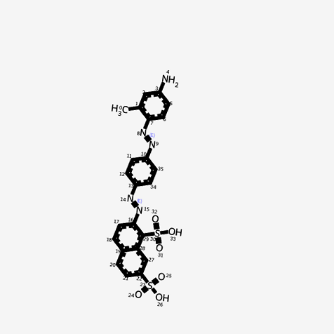 Cc1cc(N)ccc1/N=N/c1ccc(/N=N/c2ccc3ccc(S(=O)(=O)O)cc3c2S(=O)(=O)O)cc1